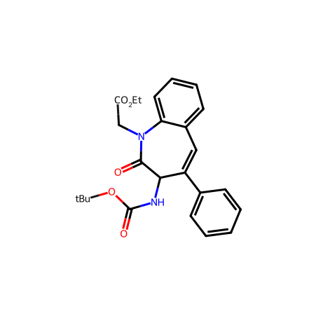 CCOC(=O)CN1C(=O)C(NC(=O)OC(C)(C)C)C(c2ccccc2)=Cc2ccccc21